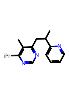 Cc1c(CC(C)c2ccccn2)ncnc1C(C)C